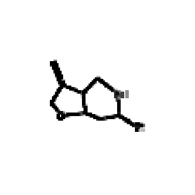 C=C1COC2CC(CC)NCC12